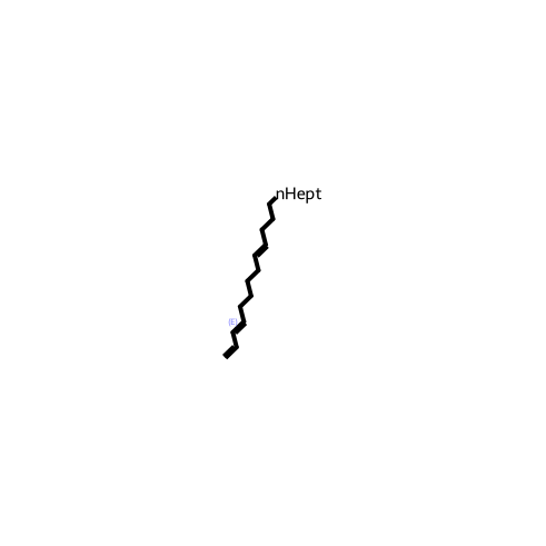 C=C/C=C/CCCCC=CCCCCCCCCCC